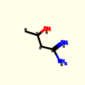 CC(O)CC(=N)N